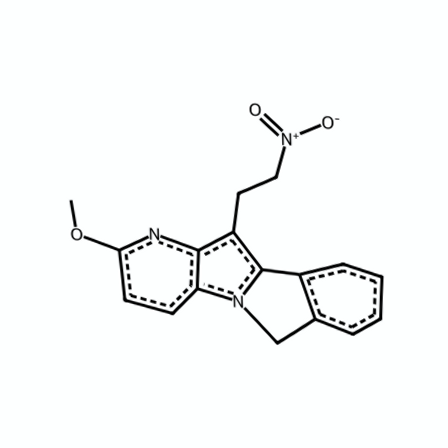 COc1ccc2c(n1)c(CC[N+](=O)[O-])c1n2Cc2ccccc2-1